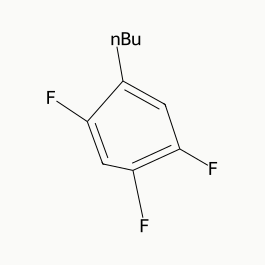 CCCCc1cc(F)c(F)cc1F